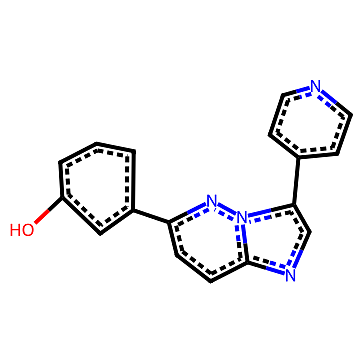 Oc1cccc(-c2ccc3ncc(-c4ccncc4)n3n2)c1